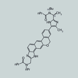 CCCC(=O)N(CCC)Cc1nc2ccc3cc4c(cc3c2[nH]1)OCc1cc(-c2[nH]c([C@H](C)N(C(=O)CCC)[C@@H](C)CC)nc2C)ccc1-4